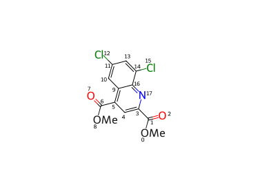 COC(=O)c1cc(C(=O)OC)c2cc(Cl)cc(Cl)c2n1